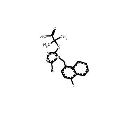 CC(C)(Sc1nnc(Br)n1Cc1ccc(F)c2ccccc12)C(=O)O